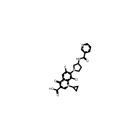 O=C(NC1CCN(c2c(F)cc3c(=O)c(C(=O)O)cn(C4CC4)c3c2Cl)C1)c1cccnc1